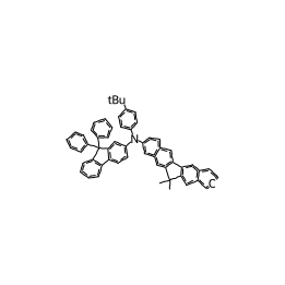 CC(C)(C)c1ccc(N(c2ccc3c(c2)C(c2ccccc2)(c2ccccc2)c2ccccc2-3)c2ccc3cc4c(cc3c2)C(C)(C)c2cc3ccccc3cc2-4)cc1